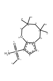 CN=S(N)(=O)c1cnn2c1OCC(C)(C)CC(C)(C)C2